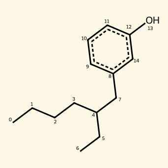 CCCCC(CC)Cc1cccc(O)c1